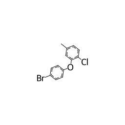 Cc1ccc(Cl)c(Oc2ccc(Br)cc2)c1